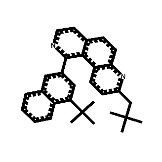 CC(C)(C)Cc1ccc2c(ccc3ccnc(-c4cc(C(C)(C)C)c5ccccc5c4)c32)n1